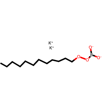 CCCCCCCCCCCCOOB([O-])[O-].[K+].[K+]